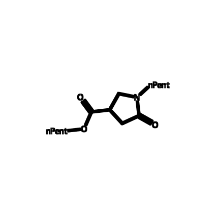 CCCCCOC(=O)C1CC(=O)N(CCCCC)C1